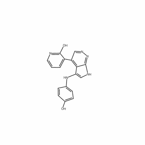 Oc1ccc(Nc2c[nH]c3nncc(-c4cccnc4O)c23)cc1